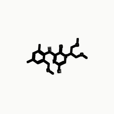 COCc1cc(C)cc(C)c1Nc1nc(Cl)cn(C(COC)COC)c1=O